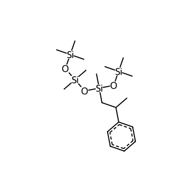 CC(C[Si](C)(O[Si](C)(C)C)O[Si](C)(C)O[Si](C)(C)C)c1ccccc1